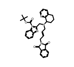 CC(C)(C)OC(=O)n1c(CN(CC=CCN2C(=O)c3ccccc3C2=O)C2CCCc3cccnc32)nc2ccccc21